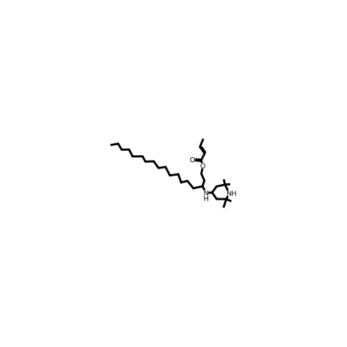 C/C=C/C(=O)OCCC(CCCCCCCCCCCCCCC)NC1CC(C)(C)NC(C)(C)C1